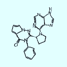 O=c1c2cccn2nc([C@@H]2CCCN2c2ncnc3[nH]cnc23)n1-c1ccccc1